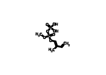 C=CC(C)=COP(=O)(OC)OP(=O)(O)O